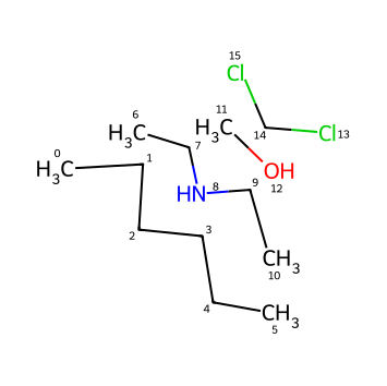 CCCCCC.CCNCC.CO.ClCCl